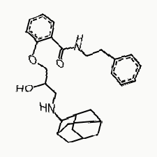 O=C(NCCc1ccccc1)c1ccccc1OCC(O)CNC1C2CC3CC(C2)CC1C3